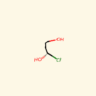 OC[C@@H](O)Cl